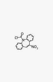 O=C(Cl)N1c2ccccc2C=C([N+](=O)[O-])c2ccccc21